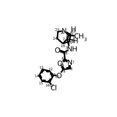 C[C@H]1[C@H](NC(=O)c2ncc(Oc3ccccc3Cl)o2)C2CCN1CC2